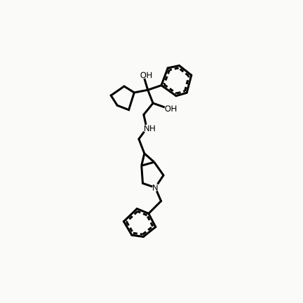 OC(CNCC1C2CN(Cc3ccccc3)CC12)C(O)(c1ccccc1)C1CCCC1